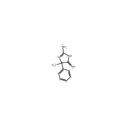 CC1(c2ccccc2)N=C(N)NC1=N